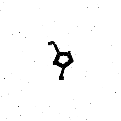 CCCc1nc(CC)cs1